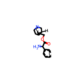 NC(C(=O)OC[C@H]1CN2CCC1CC2)c1ccccc1